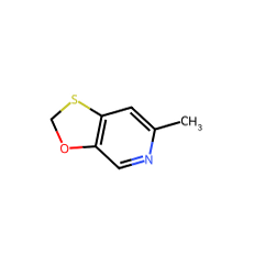 Cc1cc2c(cn1)OCS2